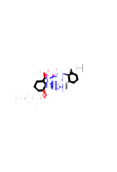 Cc1cccc(C(C)(C)C)c1CNC(=O)n1c(=O)c2cccc(OC(=O)O)c2n1C